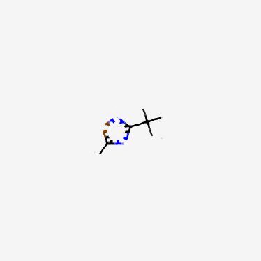 CCCCCCC(C)(CC)c1nsc(C)n1